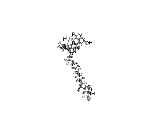 CCc1c(F)ccc2cc(O)cc(-c3ncc4c(N5CC6CCC(C5)N6)nc(OCC5(CN6CCC7(CC6)CC(N6CCN(c8cc(F)c(C9CCC(=O)NC9=O)c(F)c8)CC6)C7)CC5)nc4c3F)c12